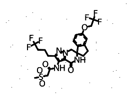 CS(=O)(=O)CC(=O)Nc1c(CCCC(F)(F)F)nn2c1C(=O)NC1(CCc3cc(OCC(F)(F)F)ccc31)C2